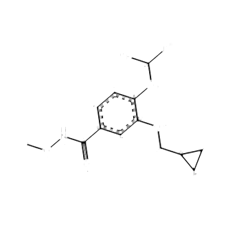 CONC(=O)c1ccc(OC(F)F)c(OCC2CC2)c1